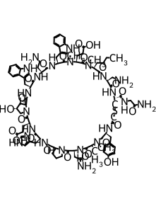 CCCC[C@H]1C(=O)N[C@@H](CN)C(=O)N[C@H](C(=O)NCC(N)=O)CSCC(=O)N[C@@H](Cc2ccc(O)cc2)C(=O)N(C)[C@@H](C)C(=O)N[C@@H](CC(N)=O)C(=O)N2CCC[C@H]2C(=O)N[C@@H](Cc2c[nH]cn2)C(=O)N[C@@H](CCC(=O)O)C(=O)N2C[C@H](O)C[C@H]2C(=O)N[C@@H](Cc2c[nH]c3ccccc23)C(=O)N[C@@H](CCN)C(=O)N[C@@H](Cc2c[nH]c3ccccc23)C(=O)N(C)[C@@H](CCC(=O)O)C(=O)N1C